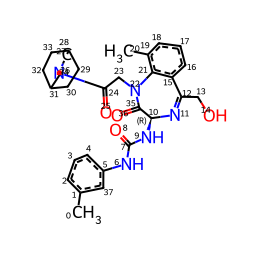 Cc1cccc(NC(=O)N[C@@H]2N=C(CO)c3cccc(C)c3N(CC(=O)N3CC4CCC(CC4)C3)C2=O)c1